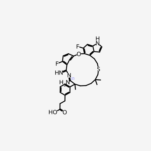 CC1(C)CCCC(C)(c2cccc(CCC(=O)O)c2)/C(N)=N/C(=N)c2cc(ccc2F)Oc2c(F)cc3[nH]ccc3c2CCSC1